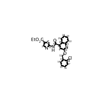 CCOC(=O)c1cnc(NC(=O)c2cc(OCc3ccccc3Cl)nc3ccccc23)s1